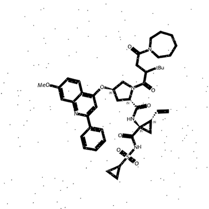 C=C[C@@H]1C[C@]1(NC(=O)[C@@H]1C[C@@H](Oc2cc(-c3ccccc3)nc3cc(OC)ccc23)CN1C(=O)C(CC(=O)N1CCCCCC1)C(C)(C)C)C(=O)NS(=O)(=O)C1CC1